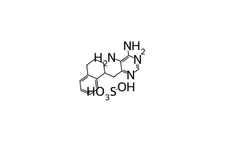 Nc1ncnc(CC2CCCc3ccccc32)c1N.O=S(=O)(O)O